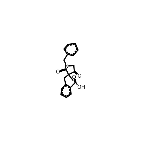 CC1(Cc2ccccc2C(=O)O)C(=O)CN(Cc2ccccc2)C1=O